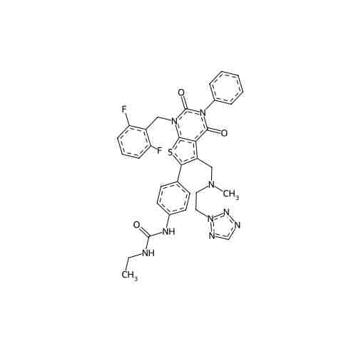 CCNC(=O)Nc1ccc(-c2sc3c(c2CN(C)CCn2ncnn2)c(=O)n(-c2ccccc2)c(=O)n3Cc2c(F)cccc2F)cc1